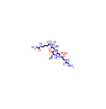 CC(C)C[C@H](NC(=O)[C@H](CO)NC(=O)CNC(=O)CN)C(=O)N[C@H](C(=O)N[C@@H](CCCNC(N)=O)C(=O)O)C(C)C